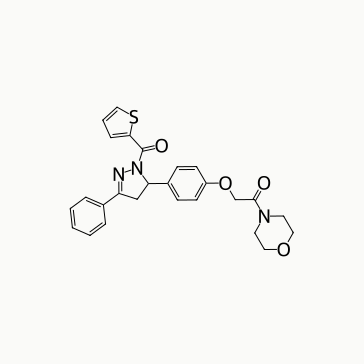 O=C(COc1ccc(C2CC(c3ccccc3)=NN2C(=O)c2cccs2)cc1)N1CCOCC1